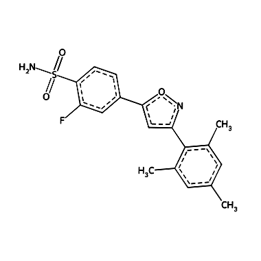 Cc1cc(C)c(-c2cc(-c3ccc(S(N)(=O)=O)c(F)c3)on2)c(C)c1